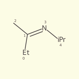 CC/C(C)=N\C(C)C